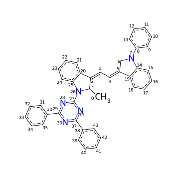 CC1/C(=C\C=C2/CN(c3ccccc3)c3ccccc32)c2ccccc2N1c1nc(-c2ccccc2)nc(-c2ccccc2)n1